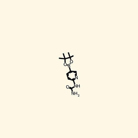 CC1(C)OB(c2ccc(NC(N)=O)nc2)OC1(C)C